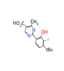 Cc1nc(-c2ccc(C(C)(C)C)c(F)c2O)ncc1C(=O)O